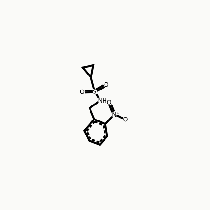 O=[N+]([O-])c1ccccc1CNS(=O)(=O)C1CC1